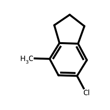 Cc1cc(Cl)cc2c1CCC2